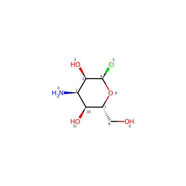 N[C@H]1[C@@H](O)[C@@H](Cl)O[C@H](CO)[C@H]1O